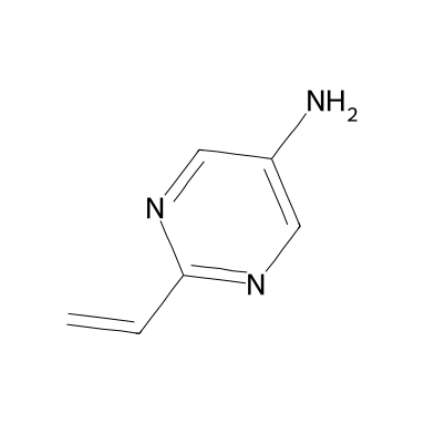 C=Cc1ncc(N)cn1